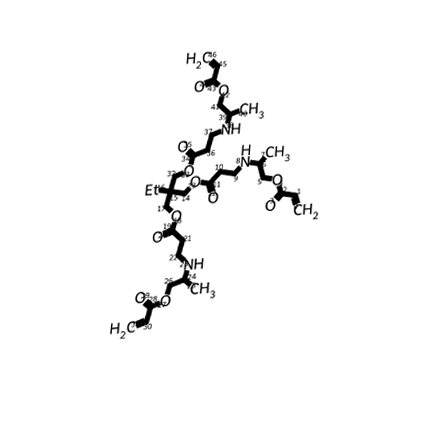 C=CC(=O)OCC(C)NCCC(=O)OCC(CC)(COC(=O)CCNC(C)COC(=O)C=C)COC(=O)CCNC(C)COC(=O)C=C